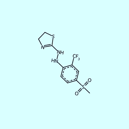 CS(=O)(=O)c1ccc(NNC2=NCCS2)c(C(F)(F)F)c1